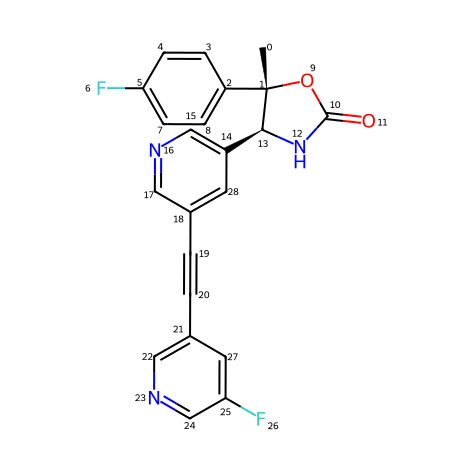 C[C@@]1(c2ccc(F)cc2)OC(=O)N[C@H]1c1cncc(C#Cc2cncc(F)c2)c1